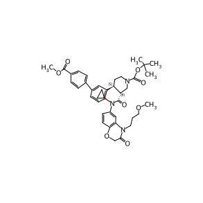 COCCCN1C(=O)COc2ccc(N(C(=O)[C@H]3CN(C(=O)OC(C)(C)C)CC[C@@H]3c3cccc(-c4ccc(C(=O)OC)cc4)c3)C3CC3)cc21